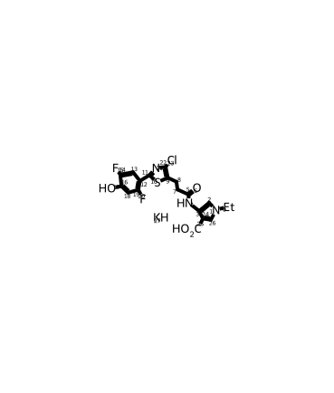 CCn1cc(NC(=O)CCc2sc(-c3cc(F)c(O)cc3F)nc2Cl)c(C(=O)O)c1.[KH]